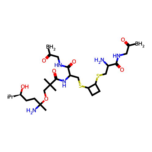 BC(=O)CNC(=O)C(N)CSC1CCC1SCC(NC(=O)C(C)(C)COC(C)(N)CC[C@H](O)C(C)C)C(=O)NCC(B)=O